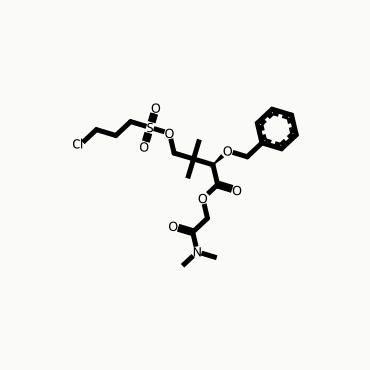 CN(C)C(=O)COC(=O)[C@H](OCc1ccccc1)C(C)(C)COS(=O)(=O)CCCCl